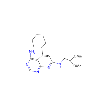 COC(CN(C)c1cc(C2CCCCC2)c2c(N)ncnc2n1)OC